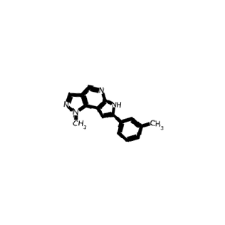 Cc1cccc(-c2cc3c(ncc4cnn(C)c43)[nH]2)c1